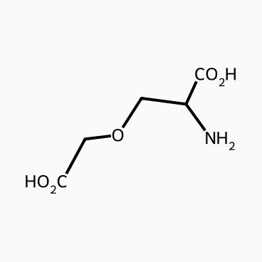 NC(COCC(=O)O)C(=O)O